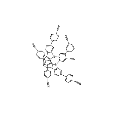 N#Cc1ccc(-c2ccc3c4ccc(-c5ccc(C#N)cc5)cc4n(-c4cc(C#N)c(-c5cccc(C#N)c5)cc4-n4c5cc(-c6ccc(C#N)cc6)ccc5c5ccc(-c6ccc(C#N)cc6)cc54)c3c2)cc1